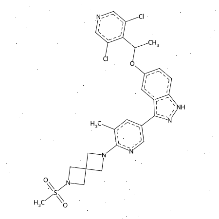 Cc1cc(-c2n[nH]c3ccc(OC(C)c4c(Cl)cncc4Cl)cc23)cnc1N1CC2(C1)CN(S(C)(=O)=O)C2